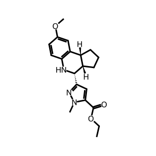 CCOC(=O)c1cc([C@@H]2Nc3ccc(OC)cc3[C@@H]3CCC[C@@H]32)nn1C